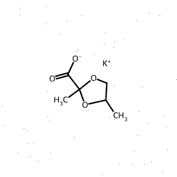 CC1COC(C)(C(=O)[O-])O1.[K+]